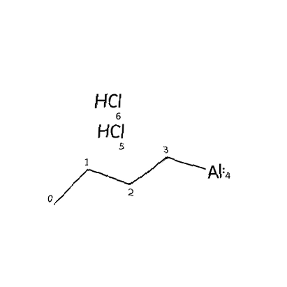 CCC[CH2][Al].Cl.Cl